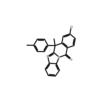 Cc1ccc(C2(C)c3cc(Cl)ccc3C(=O)n3c2nc2ccccc23)cc1